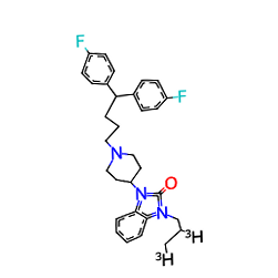 [3H]CC([3H])Cn1c(=O)n(C2CCN(CCCC(c3ccc(F)cc3)c3ccc(F)cc3)CC2)c2ccccc21